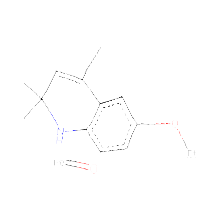 CCOc1ccc2c(c1)C(C)=CC(C)(C)N2.[O]=[Fe]